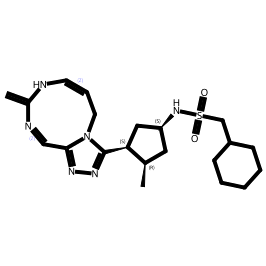 C=C1/N=C\c2nnc([C@H]3C[C@@H](NS(=O)(=O)CC4CCCCC4)C[C@H]3C)n2C/C=C\N1